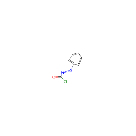 O=C(Cl)N=Nc1ccccc1